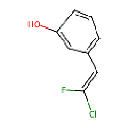 Oc1cccc(/C=C(\F)Cl)c1